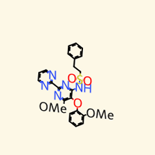 COc1ccccc1Oc1c(NS(=O)(=O)CCc2ccccc2)nc(-c2ncccn2)nc1OC